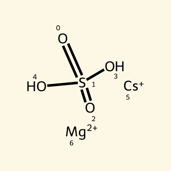 O=S(=O)(O)O.[Cs+].[Mg+2]